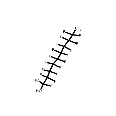 OC(O)(F)C(F)(F)C(F)(F)C(F)(F)C(F)(F)C(F)(F)C(F)(F)C(F)(F)C(F)(F)C(F)(F)F